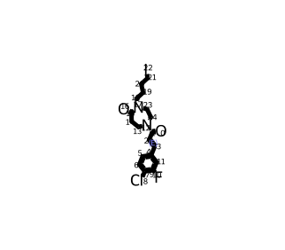 O=C(/C=C/c1ccc(Cl)c(F)c1)N1CCC(=O)N(CCCCI)CC1